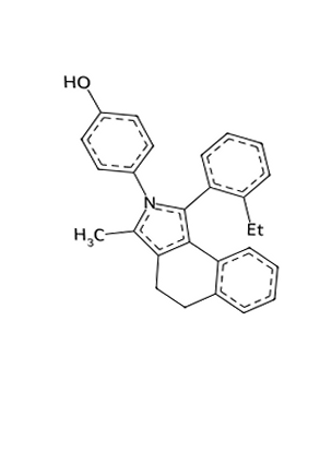 CCc1ccccc1-c1c2c(c(C)n1-c1ccc(O)cc1)CCc1ccccc1-2